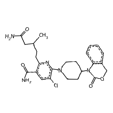 CC(CCc1nc(N2CCC(N3C(=O)OCc4ccccc43)CC2)c(Cl)cc1C(N)=O)CC(N)=O